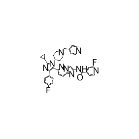 O=C(Nc1cn2nc(-c3c(-c4ccc(F)cc4)nc(C4CC4)n3C3CCN(Cc4ccncc4)CC3)ccc2n1)c1ccnc(F)c1